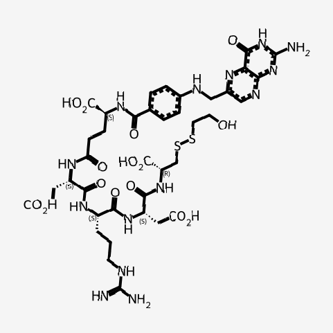 N=C(N)NCCC[C@H](NC(=O)[C@H](CC(=O)O)NC(=O)CC[C@H](NC(=O)c1ccc(NCc2cnc3nc(N)[nH]c(=O)c3n2)cc1)C(=O)O)C(=O)N[C@@H](CC(=O)O)C(=O)N[C@@H](CSSCCO)C(=O)O